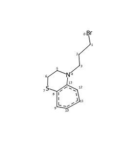 BrCCCN1CCSc2ccccc21